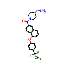 CC(F)(F)c1ccc(Oc2cccc3cc(C(=O)N4CCC(CN)CC4)ccc23)cc1